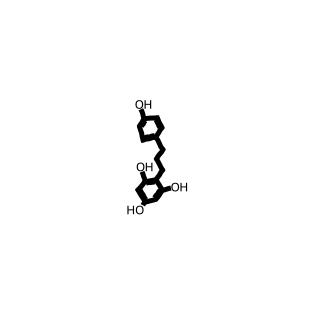 Oc1ccc(CCCc2c(O)cc(O)cc2O)cc1